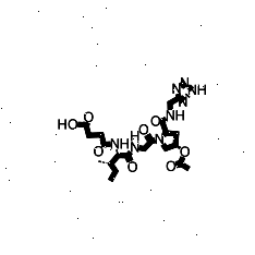 CC[C@H](C)[C@H](NC(=O)CCC(=O)O)C(=O)NCC(=O)N1C[C@H](OC(C)=O)CC1C(=O)NCc1nn[nH]n1